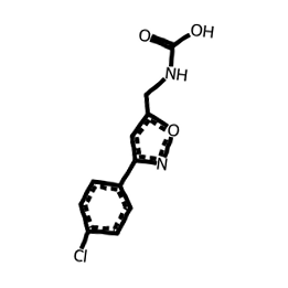 O=C(O)NCc1cc(-c2ccc(Cl)cc2)no1